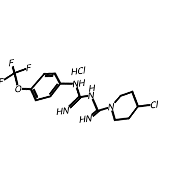 Cl.N=C(NC(=N)N1CCC(Cl)CC1)Nc1ccc(OC(F)(F)F)cc1